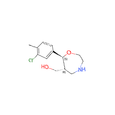 Cc1ccc([C@H]2OCCNC[C@@H]2CO)cc1Cl